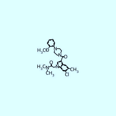 COc1ccccc1N1CCN(C(=O)c2cn(CC(=O)N(C)C)c3cc(Cl)c(C)cc23)CC1